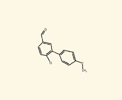 COc1ccc(-c2cc(C=O)ccc2Cl)cc1